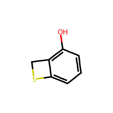 Oc1cccc2c1CS2